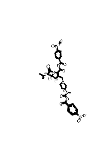 CC(C)[C@H]1C(=O)N2C(C(=O)OC(=O)c3ccc([N+](=O)[O-])cc3)=C(CN3CC[C@H](N(C)C(=O)OC(=O)c4ccc([N+](=O)[O-])cc4)C3)[C@H](C)[C@H]12